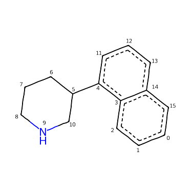 c1ccc2c(C3CCCNC3)cccc2c1